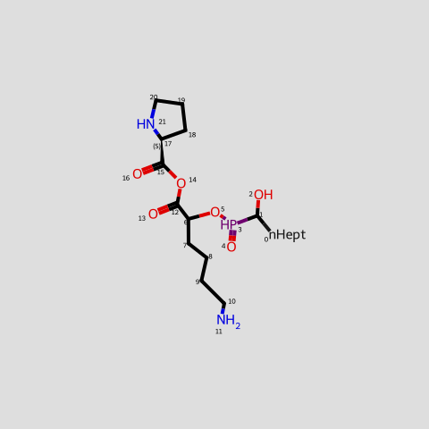 CCCCCCCC(O)[PH](=O)OC(CCCCN)C(=O)OC(=O)[C@@H]1CCCN1